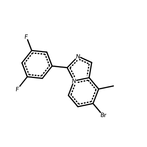 Cc1c(Br)ccn2c(-c3cc(F)cc(F)c3)ncc12